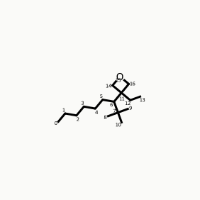 CCCCCCC(C(C)(C)C)C1(CC)COC1